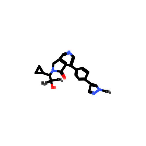 Cn1cc(-c2ccc(-c3cncc4c3C(=O)N(C(C3CC3)C(C)(C)O)C4)cc2)cn1